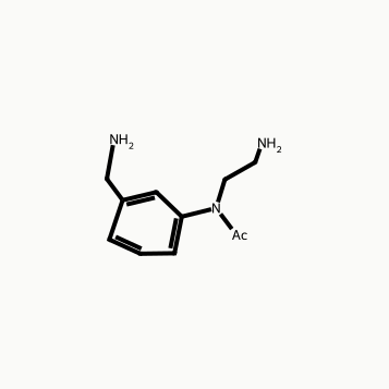 CC(=O)N(CCN)c1cccc(CN)c1